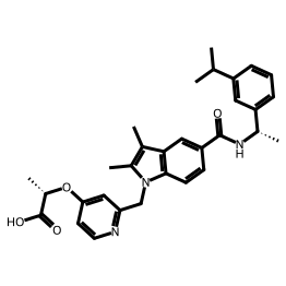 Cc1c(C)n(Cc2cc(O[C@@H](C)C(=O)O)ccn2)c2ccc(C(=O)N[C@@H](C)c3cccc(C(C)C)c3)cc12